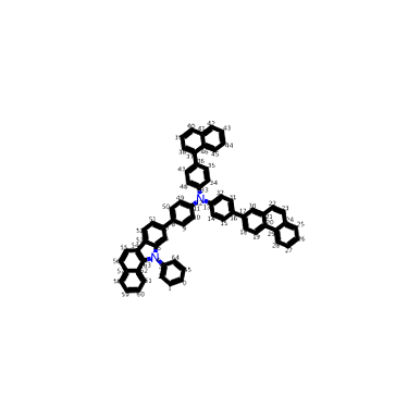 c1ccc(-n2c3cc(-c4ccc(N(c5ccc(-c6ccc7c(ccc8ccccc87)c6)cc5)c5ccc(-c6cccc7ccccc67)cc5)cc4)ccc3c3ccc4ccccc4c32)cc1